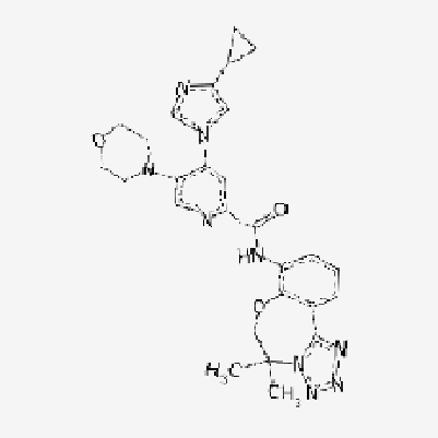 CC1(C)COc2c(NC(=O)c3cc(-n4cnc(C5CC5)c4)c(N4CCOCC4)cn3)cccc2-c2nnnn21